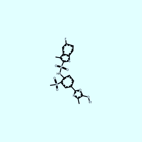 CCOc1oc(-c2ccc(NS(=O)(=O)c3sc4ccc(F)cc4c3C)c(S(C)(=O)=O)c2)nc1C